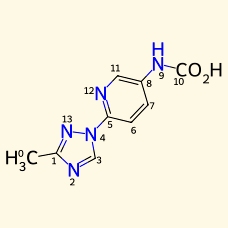 Cc1ncn(-c2ccc(NC(=O)O)cn2)n1